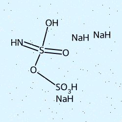 N=S(=O)(O)OS(=O)(=O)O.[NaH].[NaH].[NaH]